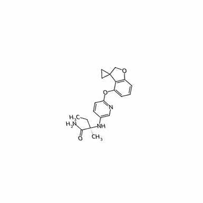 CC[C@@](C)(Nc1ccc(Oc2cccc3c2C2(CC2)CO3)nc1)C(N)=O